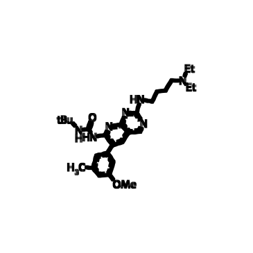 CCN(CC)CCCCNc1ncc2cc(-c3cc(C)cc(OC)c3)c(NC(=O)NC(C)(C)C)nc2n1